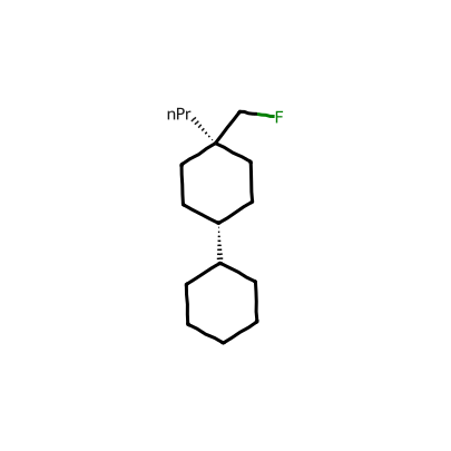 CCC[C@]1(CF)CC[C@H](C2CCCCC2)CC1